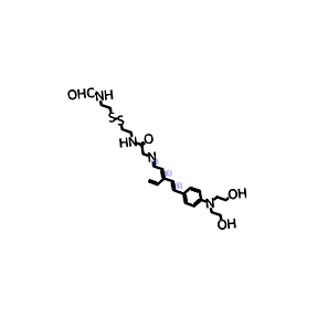 C=CC(/C=C/c1ccc(N(CCO)CCO)cc1)=C\C=N\CC(=O)NCCSSCCNC=O